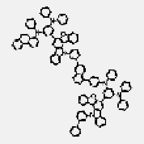 c1ccc(-c2cccc(-n3c4ccccc4c4cc(-c5cc(N(c6ccccc6)c6ccccc6)cc(N(c6ccccc6)c6ccc(-c7cccc8cc(-c9cccc(-n%10c%11ccccc%11c%11cc(-c%12cc(N(c%13ccccc%13)c%13ccccc%13)cc(N(c%13ccccc%13)c%13cccc%14c%13ccc%13ccccc%13%14)c%12)c%12oc%13ccccc%13c%12c%11%10)c9)ccc78)cc6)c5)c5oc6ccccc6c5c43)c2)cc1